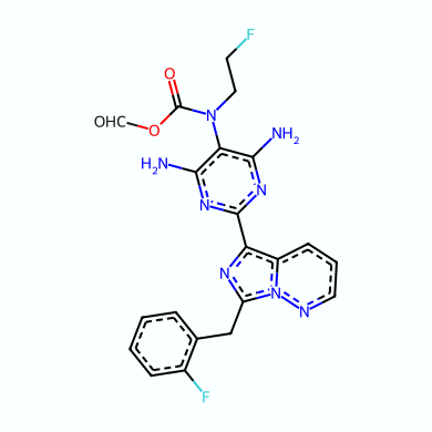 Nc1nc(-c2nc(Cc3ccccc3F)n3ncccc23)nc(N)c1N(CCF)C(=O)OC=O